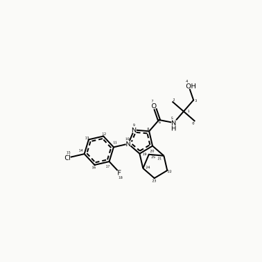 CC(C)(CO)NC(=O)c1nn(-c2ccc(Cl)cc2F)c2c1C1CCC2C1